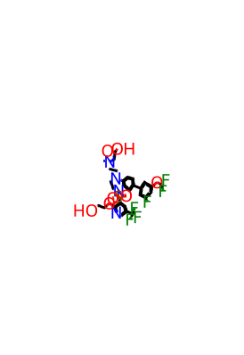 CN(CCN1CCN(S(=O)(=O)c2cc(C(F)(F)F)cnc2OCCO)c2cc(-c3cc(F)cc(OC(F)F)c3)ccc21)CC(=O)O